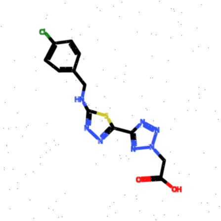 O=C(O)Cn1nnc(-c2nnc(NCc3ccc(Cl)cc3)s2)n1